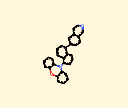 c1ccc2c(c1)Oc1ccccc1N2c1cccc2c(-c3ccc4cnccc4c3)cccc12